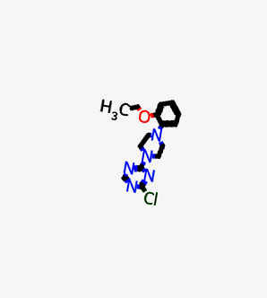 CCOc1ccccc1N1CCN(c2ncnc(Cl)n2)CC1